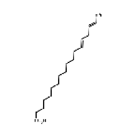 CCCC=CCC=CCCCCCCCCCCCC(=O)O